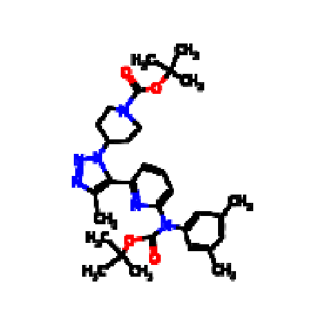 Cc1cc(C)cc(N(C(=O)OC(C)(C)C)c2cccc(-c3c(C)nnn3C3CCN(C(=O)OC(C)(C)C)CC3)n2)c1